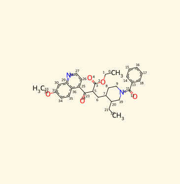 CCOC(=O)C(CC1CCN(C(=O)c2ccccc2)CC1CC)C(=O)c1ccnc2cc(OC)ccc12